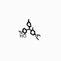 C=c1ccc(=C(c2ccc(NC)c(Cl)c2)c2ccc(N(CC)CC)cc2C)cc1